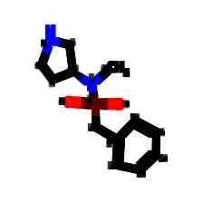 CN([C@H]1CCNC1)S(=O)(=O)Cc1ccccc1